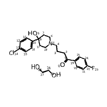 O=C(CCCN1CCC(O)(c2ccc(Cl)cc2)CC1)c1ccc(F)cc1.OCCO